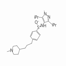 CC(C)c1nn(C)c(C(C)C)c1N[S+]([O-])c1ccc(CCCC2CCN(C)CC2)cc1